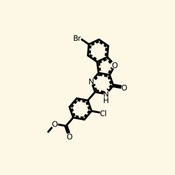 COC(=O)c1ccc(-c2nc3c(oc4ccc(Br)cc43)c(=O)[nH]2)c(Cl)c1